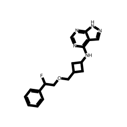 FC(COCC1CC(Nc2ncnc3[nH]ncc23)C1)c1ccccc1